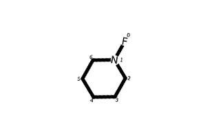 FN1[CH]CCCC1